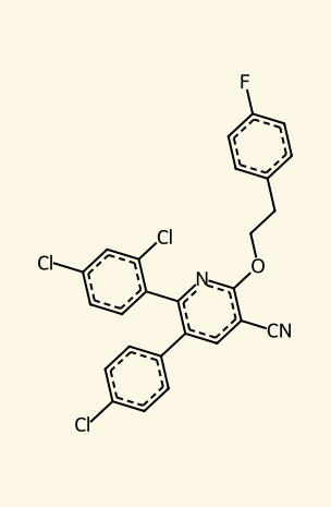 N#Cc1cc(-c2ccc(Cl)cc2)c(-c2ccc(Cl)cc2Cl)nc1OCCc1ccc(F)cc1